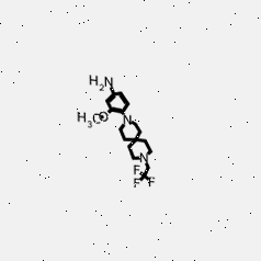 COc1cc(N)ccc1N1CCC2(CCN(CC(F)(F)F)CC2)CC1